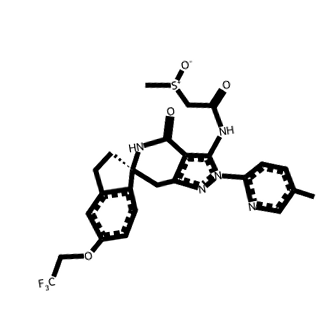 Cc1ccc(-n2nc3c(c2NC(=O)C[S+](C)[O-])C(=O)N[C@@]2(CCc4cc(OCC(F)(F)F)ccc42)C3)nc1